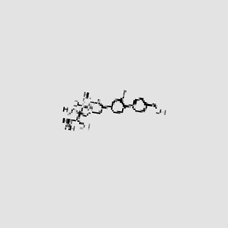 C[C@@](C[C@H]1CC(c2ccc(-c3ccc(CO)cc3)c(F)c2)=NO1)(C(O)NO)S(C)(=O)=O